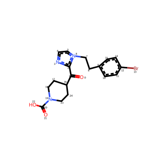 O=C(c1nccn1CCc1ccc(Br)cc1)C1CCN(C(=O)O)CC1